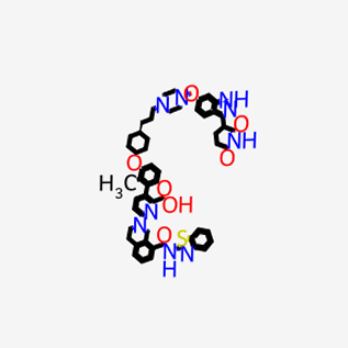 Cc1c(O[C@H]2CC[C@H](CCCN3CCN(Oc4ccc5c(C6CCC(=O)NC6=O)n[nH]c5c4)CC3)CC2)cccc1-c1ccc(N2CCc3cccc(C(=O)Nc4nc5ccccc5s4)c3C2)nc1C(=O)O